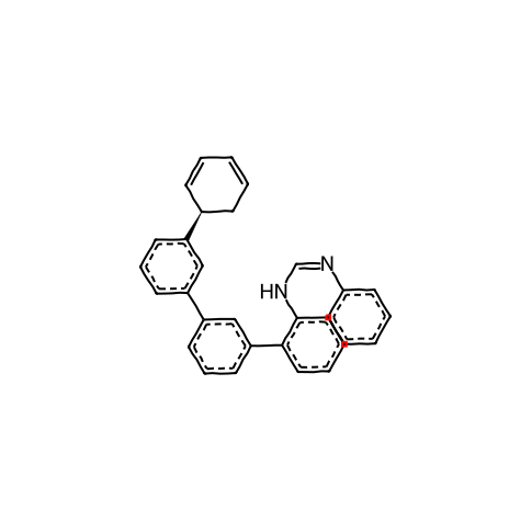 C1=CC[C@@H](c2cccc(-c3cccc(-c4ccccc4N/C=N\c4ccccc4)c3)c2)C=C1